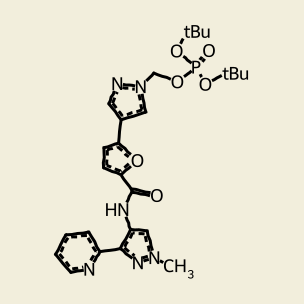 Cn1cc(NC(=O)c2ccc(-c3cnn(COP(=O)(OC(C)(C)C)OC(C)(C)C)c3)o2)c(-c2ccccn2)n1